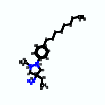 CCCCCCCCc1ccc(N2CC(N)(CC)CN2C)cc1